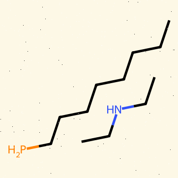 CCCCCCCCP.CCNCC